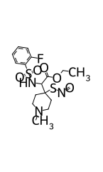 CCOC(=O)C(NS(=O)(=O)c1ccccc1F)C1(SN=O)CCN(C)CC1